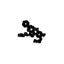 CCCCOC[C@H]1O[C@@H](c2cc(COC(C)=O)c(F)cc2F)C(OCCCC)[C@@H]1OCc1ccccc1